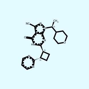 C[C@@H](C1CCOCC1)n1nc(C#N)c2c(=O)[nH]c([C@H]3CC[C@@H]3c3ncccn3)nc21